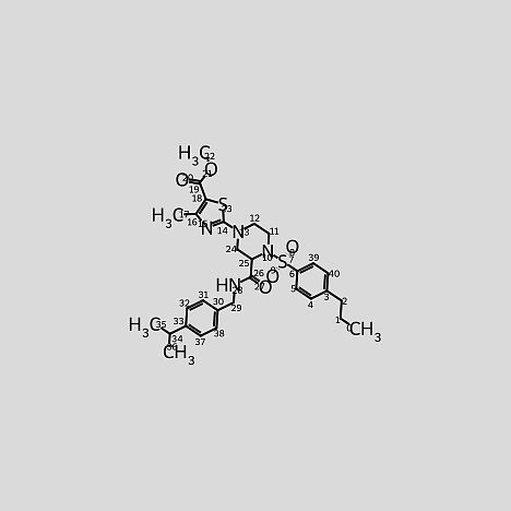 CCCc1ccc(S(=O)(=O)N2CCN(c3nc(C)c(C(=O)OC)s3)CC2C(=O)NCc2ccc(C(C)C)cc2)cc1